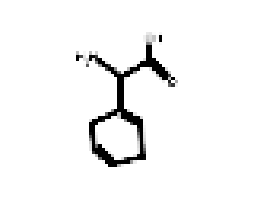 NC(C(=O)O)C1=CCC=CC1